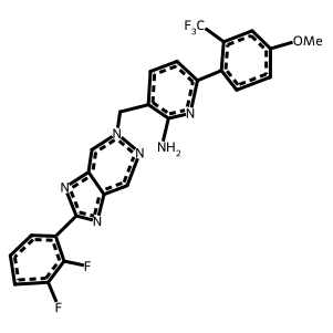 COc1ccc(-c2ccc(Cn3cc4nc(-c5cccc(F)c5F)nc-4cn3)c(N)n2)c(C(F)(F)F)c1